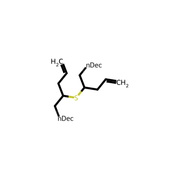 C=CCC(CCCCCCCCCCC)SC(CC=C)CCCCCCCCCCC